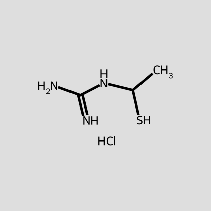 CC(S)NC(=N)N.Cl